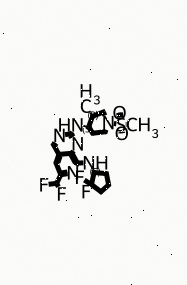 C[C@@H]1CN(S(C)(=O)=O)CC[C@@H]1Nc1ncc2cc(C(F)F)nc(N[C@H]3CCCC3(F)F)c2n1